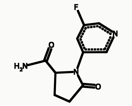 NC(=O)C1CCC(=O)N1c1cncc(F)c1